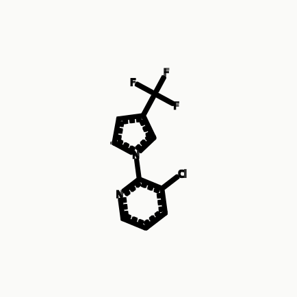 FC(F)(F)c1c[c]n(-c2ncccc2Cl)c1